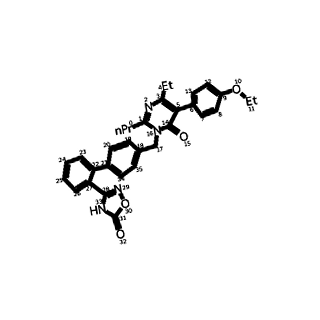 CCCc1nc(CC)c(-c2ccc(OCC)cc2)c(=O)n1Cc1ccc(-c2ccccc2-c2noc(=O)[nH]2)cc1